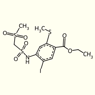 CCOC(=O)c1cc(I)c(NS(=O)(=O)CS(C)(=O)=O)cc1SC